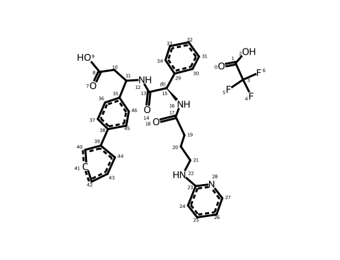 O=C(O)C(F)(F)F.O=C(O)CC(NC(=O)[C@H](NC(=O)CCCNc1ccccn1)c1ccccc1)c1ccc(-c2ccccc2)cc1